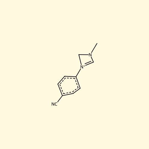 CN1C=[N+](c2ccc(C#N)cc2)C1